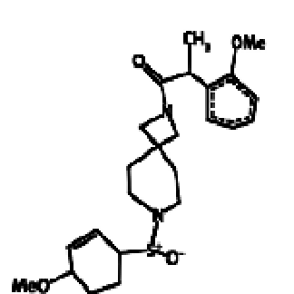 COc1ccccc1C(C)C(=O)N1CC2(CCN([S+]([O-])C3C=CC(OC)CC3)CC2)C1